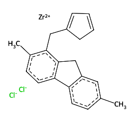 Cc1ccc2c(c1)Cc1c-2ccc(C)c1CC1=CC=CC1.[Cl-].[Cl-].[Zr+2]